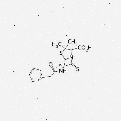 CC1(C)SC2[C@H](NC(=O)Cc3ccccc3)C(=S)N2C1C(=O)O